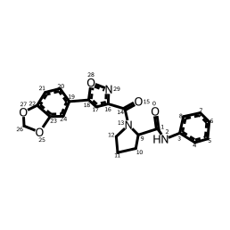 O=C(Nc1ccccc1)C1CCCN1C(=O)c1cc(-c2ccc3c(c2)OCO3)on1